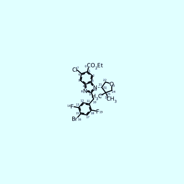 CCOC(=O)c1cc2c(cc1Cl)nc(Cc1cc(F)c(Br)cc1F)n2[C@@H]1COCC1(C)C